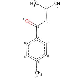 CC(C#N)CC(=O)c1ccc(C(F)(F)F)cc1